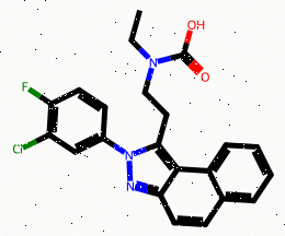 CCN(CCc1c2c(ccc3ccccc32)nn1-c1ccc(F)c(Cl)c1)C(=O)O